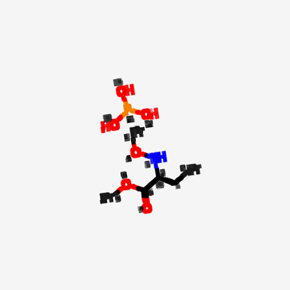 CC(C)C[C@H](NOC(C)C)C(=O)OC(C)C.OP(O)O